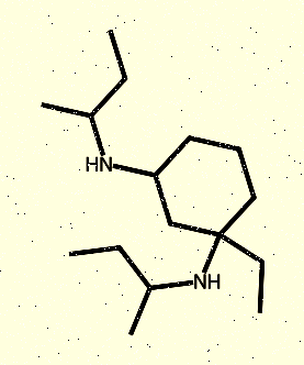 CCC(C)NC1CCCC(CC)(NC(C)CC)C1